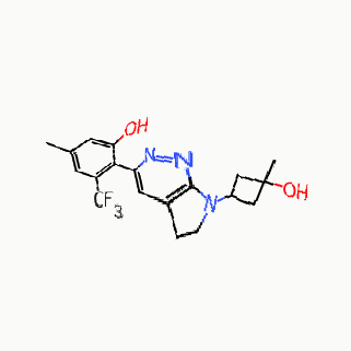 Cc1cc(O)c(-c2cc3c(nn2)N(C2CC(C)(O)C2)CC3)c(C(F)(F)F)c1